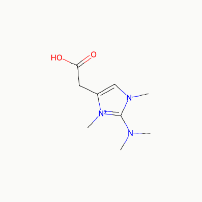 CN(C)c1n(C)cc(CC(=O)O)[n+]1C